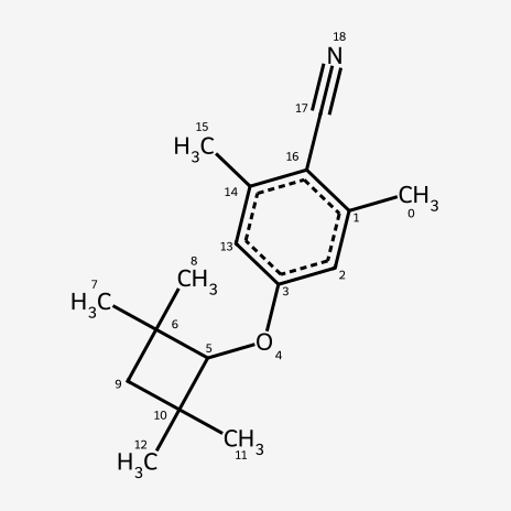 Cc1cc(OC2C(C)(C)CC2(C)C)cc(C)c1C#N